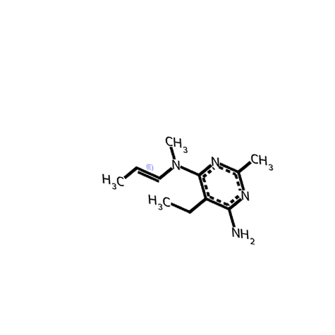 C/C=C/N(C)c1nc(C)nc(N)c1CC